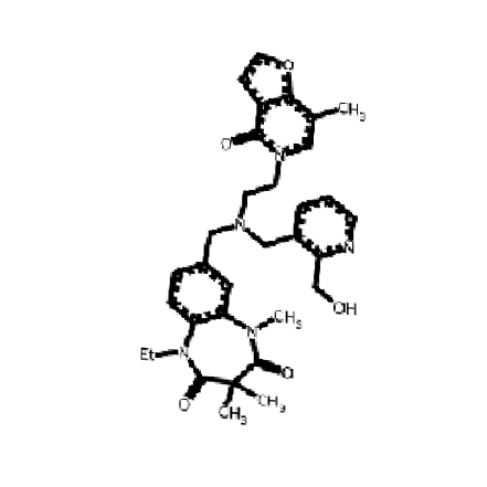 CCN1C(=O)C(C)(C)C(=O)N(C)c2cc(CN(CCn3cc(C)c4occc4c3=O)Cc3cccnc3CO)ccc21